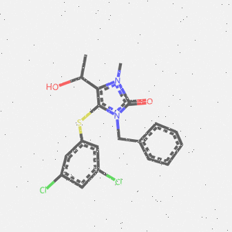 CC(O)c1c(Sc2cc(Cl)cc(Cl)c2)n(Cc2ccccc2)c(=O)n1C